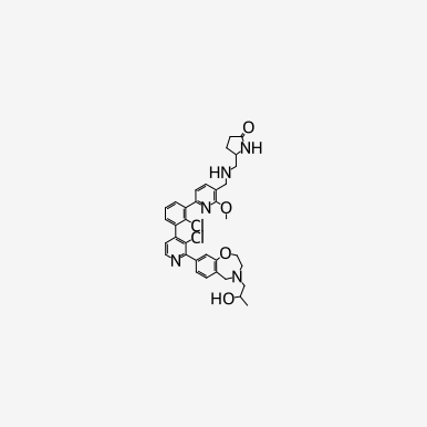 COc1nc(-c2cccc(-c3ccnc(-c4ccc5c(c4)OCCN(CC(C)O)C5)c3Cl)c2Cl)ccc1CNCC1CCC(=O)N1